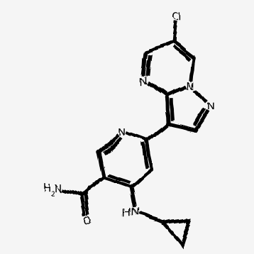 NC(=O)c1cnc(-c2cnn3cc(Cl)cnc23)cc1NC1CC1